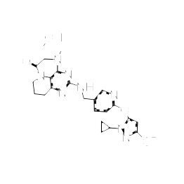 CN1c2nc(NCc3ccc(Oc4cc(C(F)(F)F)nn4C4CC4)nc3)nc3c2N(CCC3)C(=O)[C@@H]1CO